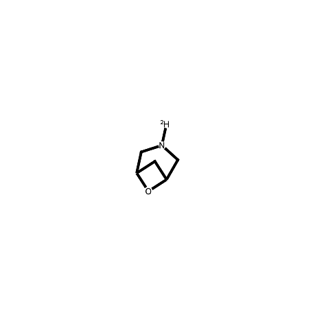 [2H]N1CC2CC(C1)O2